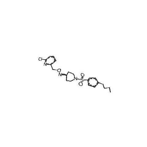 CCCCc1ccc(S(=O)(=O)N2CCC(=NOCc3cccc(Cl)n3)CC2)cc1